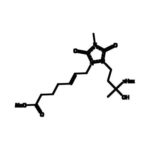 CCCCCCC(C)(O)CCn1c(=O)n(C)c(=O)n1CC=CCCCC(=O)OC